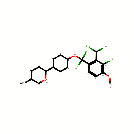 CCCC1CCC(C2CCC(OC(F)(F)c3ccc(OCC)c(F)c3C(F)F)CC2)OC1